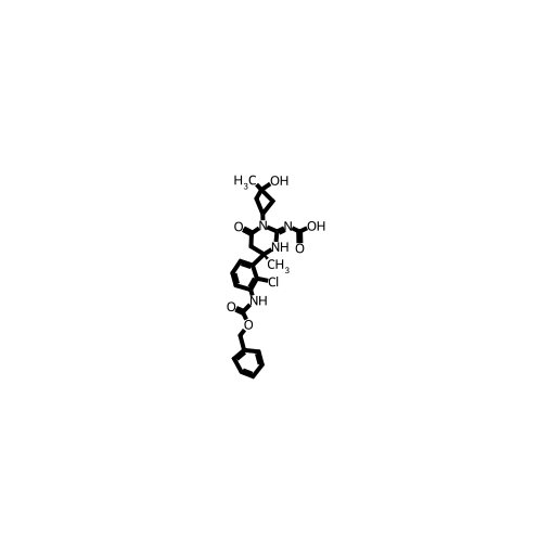 CC1(O)CC(N2C(=O)C[C@@](C)(c3cccc(NC(=O)OCc4ccccc4)c3Cl)NC2=NC(=O)O)C1